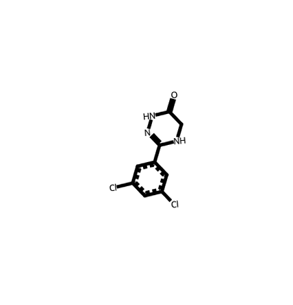 O=C1CNC(c2cc(Cl)cc(Cl)c2)=NN1